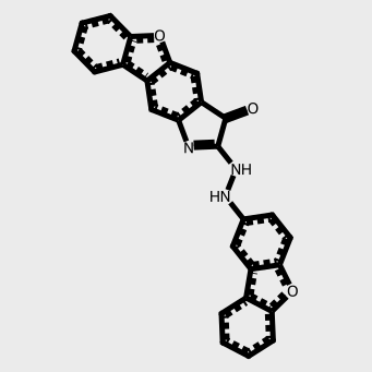 O=C1C(NNc2ccc3oc4ccccc4c3c2)=Nc2cc3c(cc21)oc1ccccc13